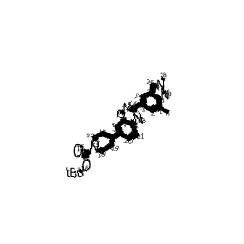 Cc1cc(-c2n[o+]c3cc(C4=CCN(C(=O)OC(C)(C)C)CC4)ccc3n2)cc2cn(C)nc12